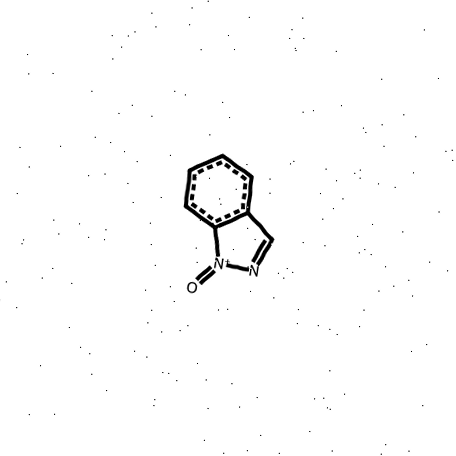 O=[N+]1N=Cc2ccccc21